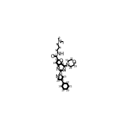 CN(C)CCCNC(=O)c1cc2nc(-n3cc(-c4ccccc4)cn3)nc(N3CCOCC3)c2o1